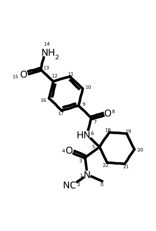 CN(C#N)C(=O)C1(NC(=O)c2ccc(C(N)=O)cc2)CCCCC1